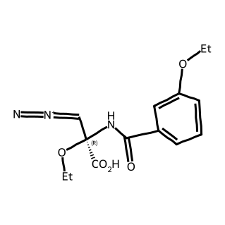 CCOc1cccc(C(=O)N[C@](C=[N+]=[N-])(OCC)C(=O)O)c1